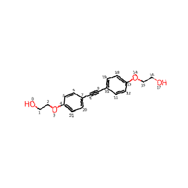 OCCOc1ccc(C#Cc2ccc(OCCO)cc2)cc1